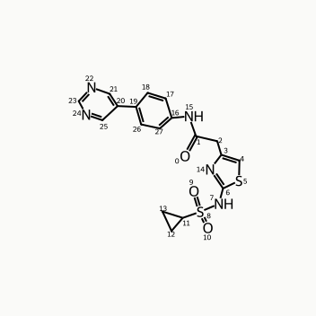 O=C(Cc1csc(NS(=O)(=O)C2CC2)n1)Nc1ccc(-c2cncnc2)cc1